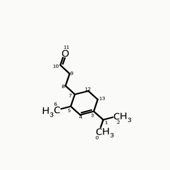 CC(C)C1=CC(C)C(CCC=O)CC1